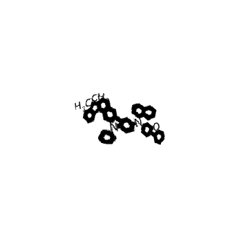 CC1(C)c2ccccc2-c2c1ccc1cc3c4cc(N(c5ccc6c(c5)oc5ccccc56)c5cccc6ccccc56)ccc4n(-c4ccccc4)c3cc21